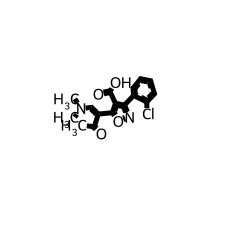 CC(=O)/C(=C\N(C)C)c1onc(-c2ccccc2Cl)c1C(=O)O